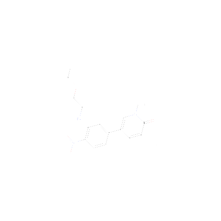 CCOCCNc1cc(-c2cc(C)c(=O)n(C)c2)ccc1[N+](=O)[O-]